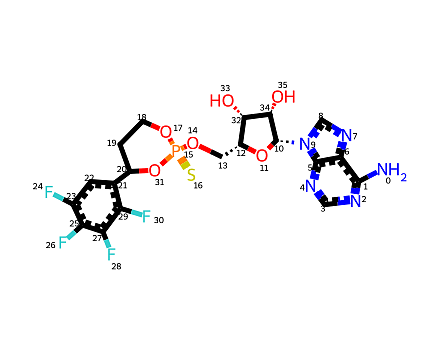 Nc1ncnc2c1ncn2[C@@H]1O[C@H](COP2(=S)OCCC(c3cc(F)c(F)c(F)c3F)O2)[C@H](O)[C@@H]1O